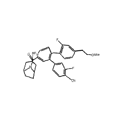 COCCc1ccc(-c2ccc(C(=O)N3C4CCC3CC(N)C4)cc2-c2ccc(C#N)c(F)c2)c(F)c1